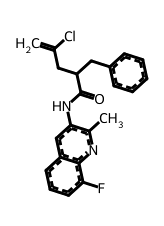 C=C(Cl)CC(Cc1ccccc1)C(=O)Nc1cc2cccc(F)c2nc1C